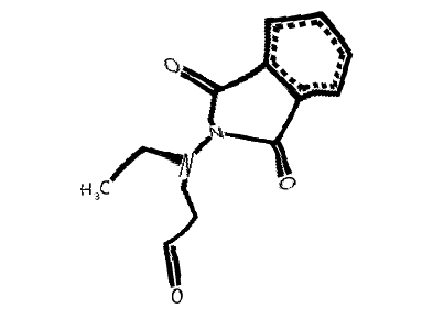 CCN(CC=O)N1C(=O)c2ccccc2C1=O